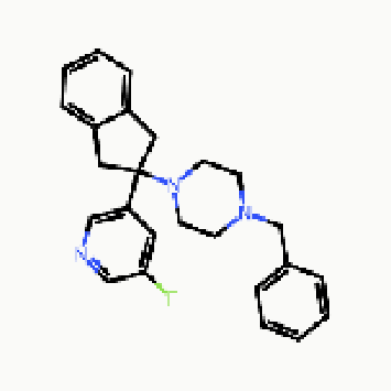 Fc1cncc(C2(N3CCN(Cc4ccccc4)CC3)Cc3ccccc3C2)c1